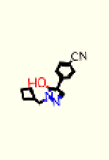 N#Cc1ccc(-c2cnn([CH]C3CCC3)c2O)cc1